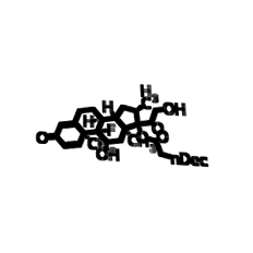 CCCCCCCCCCCC(=O)O[C@]1(C(=O)CO)[C@H](C)C[C@H]2[C@@H]3CCC4=CC(=O)C=C[C@]4(C)[C@@]3(F)[C@@H](O)C[C@@]21C